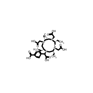 CC[C@@H]1CN(CC(=O)O)[C@H](CC)CN(C(C(=O)O)c2ccc(C(=O)O)cc2)[C@H](CC)CN(CC(=O)O)[C@H](CC)CN1CC(=O)O